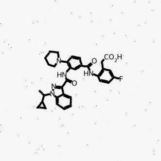 CC(C1CC1)n1nc(C(=O)Nc2cc(C(=O)Nc3ccc(F)cc3CC(=O)O)ccc2N2CCCCC2)c2ccccc21